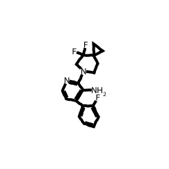 Nc1c(-c2ccccc2F)ccnc1N1CCC2(CC2)C(F)(F)C1